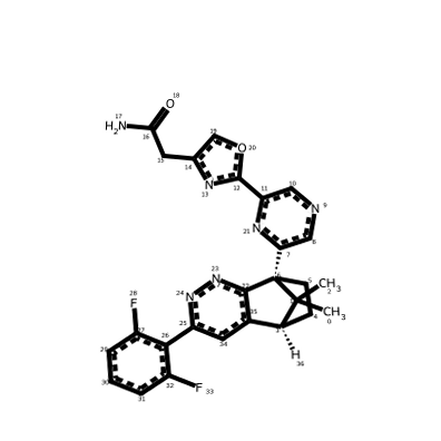 CC1(C)[C@H]2CC[C@]1(c1cncc(-c3nc(CC(N)=O)co3)n1)c1nnc(-c3c(F)cccc3F)cc12